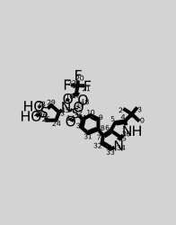 CC(C)(C)c1cc2c(-c3ccc(S(=O)(=O)N(OC(=O)C(F)(F)F)C4CCS(O)(O)C4)cc3)ccnc2[nH]1